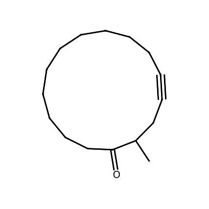 CC1CC#CCCCCCCCCCCC1=O